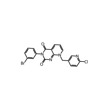 O=c1nc2n(Cc3ccc(Cl)nc3)cccc-2c(=O)n1-c1cccc(Br)c1